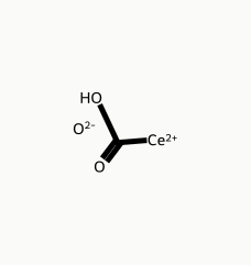 O=[C](O)[Ce+2].[O-2]